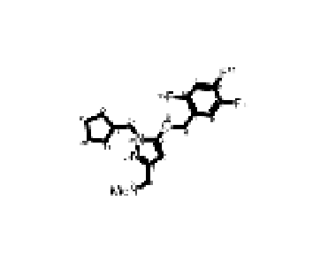 CNCc1cc(OCc2cc(F)c(F)cc2F)n(CC2CCCC2)n1